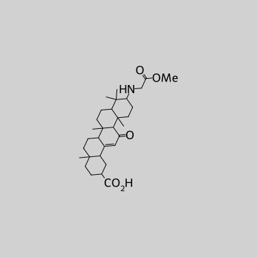 COC(=O)CNC1CCC2(C)C(CCC3(C)C4CCC5(C)CCC(C(=O)O)CC5C4=CC(=O)C32)C1(C)C